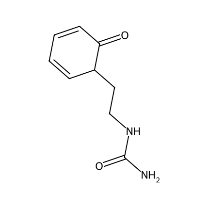 NC(=O)NCCC1C=CC=CC1=O